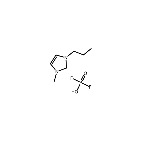 CCCN1C=CN(C)C1.O=P(O)(F)F